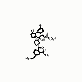 CCc1cccc(-c2c(Cl)cccc2C(O)(CCCNC(=O)O)[C@@H]2CCCN(C(=O)c3ccc(CNC)cc3C(N)=O)C2)c1